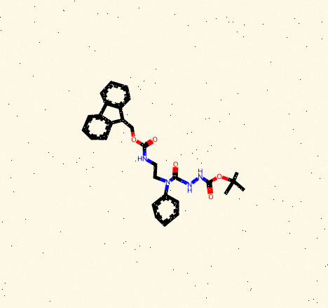 CC(C)(C)OC(=O)NNC(=O)N(CCNC(=O)OCC1c2ccccc2-c2ccccc21)c1ccccc1